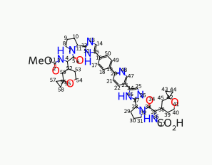 COC(=O)NC(C(=O)N1CCC[C@H]1c1ncc(-c2ccc(-c3ccc(-c4cnc([C@@H]5CCCN5C(=O)C(NC(=O)O)C5CCOC6(CC6)C5)[nH]4)cn3)cc2)[nH]1)C1CCOC2(CC2)C1